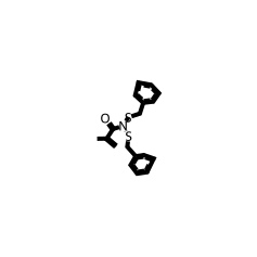 C=C(C)C(=O)N(SCc1ccccc1)SCc1ccccc1